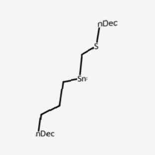 CCCCCCCCCCCC[CH2][Sn][CH2]SCCCCCCCCCC